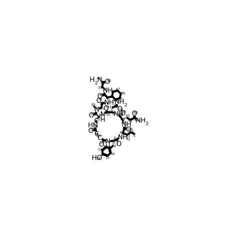 CC[C@H](C)[C@@H]1NC(=O)[C@H](Cc2ccc(O)cc2)NC(=O)CCC(=O)NC[C@@H](C(=O)N(C)CC(=O)N[C@H](C(=O)NCC(N)=O)C2CCCCC2)NC(=O)[C@H](CC(N)=O)NC(=O)[C@H](CCC(N)=O)NC1=O